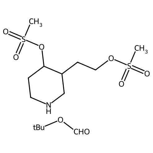 CC(C)(C)OC=O.CS(=O)(=O)OCCC1CNCCC1OS(C)(=O)=O